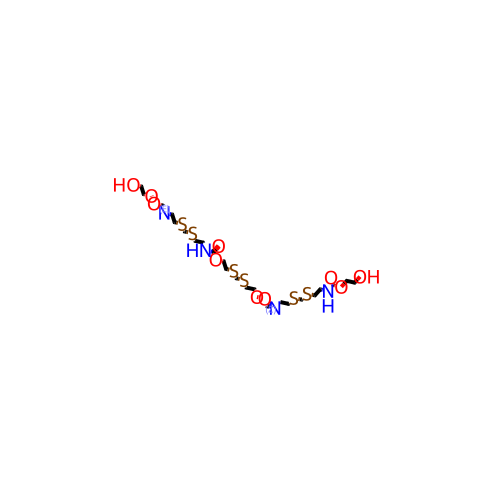 O=C(NCCSCSCC/N=C\OOCCSCSCCOC(=O)NCCSCSCC/N=C/OOCCO)OCCO